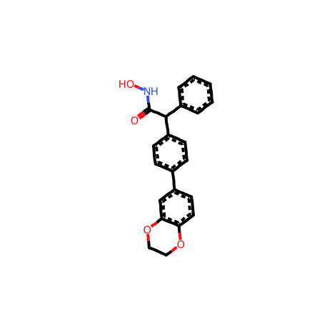 O=C(NO)C(c1ccccc1)c1ccc(-c2ccc3c(c2)OCCO3)cc1